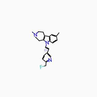 Cc1ccc2c(c1)c1c(n2/C=C/c2ccc(CF)nc2)CCN(C)CC1